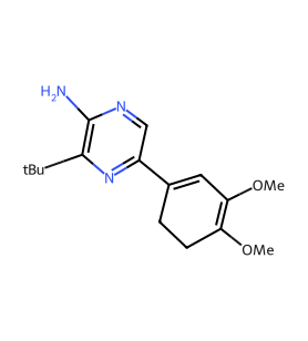 COC1=C(OC)CCC(c2cnc(N)c(C(C)(C)C)n2)=C1